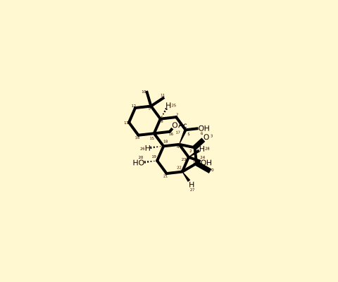 C=C1C(=O)[C@@]23C(O)C[C@@H]4C(C)(C)CCCC4(COC(C)=O)[C@@H]2[C@@H](O)C[C@@H]1[C@H]3O